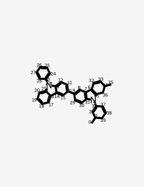 CC1C=C(n2c3c(c4cc(-c5ccc6c(c5)c5ccccc5n6-c5ccccc5)ccc42)C=CC(C)C3)C=CC1